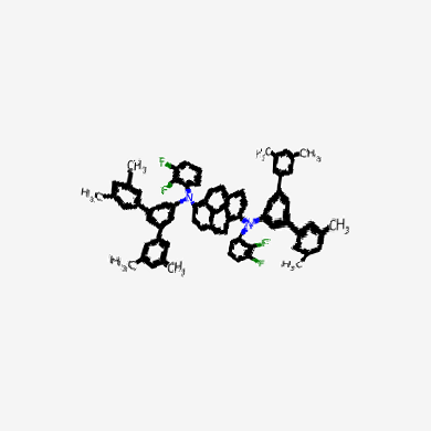 Cc1cc(C)cc(-c2cc(-c3cc(C)cc(C)c3)cc(N(c3cccc(F)c3F)c3ccc4ccc5c(N(c6cc(-c7cc(C)cc(C)c7)cc(-c7cc(C)cc(C)c7)c6)c6cccc(F)c6F)ccc6ccc3c4c65)c2)c1